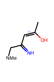 CNCC(=N)/C=C(/C)O